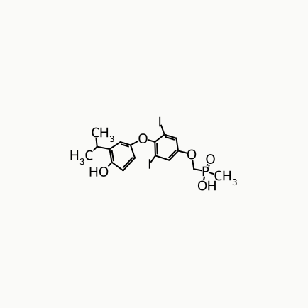 CC(C)c1cc(Oc2c(I)cc(OCP(C)(=O)O)cc2I)ccc1O